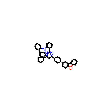 c1ccc(-c2cc(-c3ccc(-c4ccc5oc6ccccc6c5c4)cc3)nc(-c3ccccc3-n3c4ccccc4c4ccccc43)n2)cc1